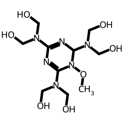 CON1C(N(CO)CO)=NC(N(CO)CO)=NC1N(CO)CO